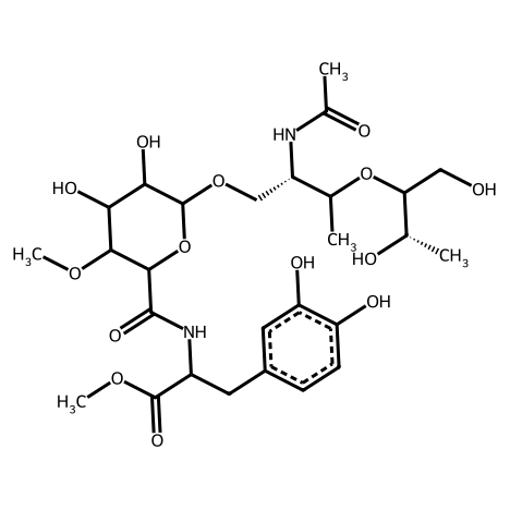 COC(=O)C(Cc1ccc(O)c(O)c1)NC(=O)C1OC(OC[C@H](NC(C)=O)C(C)OC(CO)[C@H](C)O)C(O)C(O)C1OC